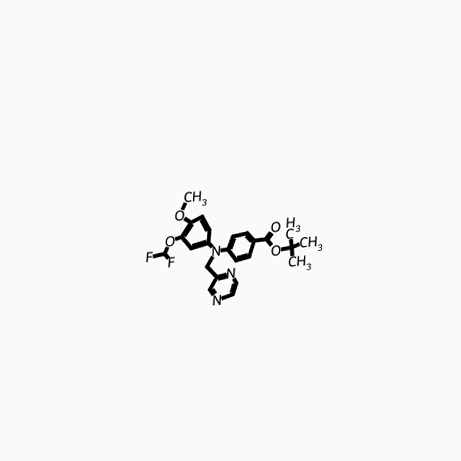 COc1ccc(N(Cc2cnccn2)c2ccc(C(=O)OC(C)(C)C)cc2)cc1OC(F)F